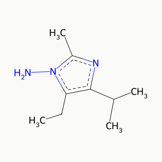 CCc1c(C(C)C)nc(C)n1N